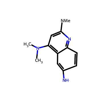 CNc1cc(N(C)C)c2cc([NH])ccc2n1